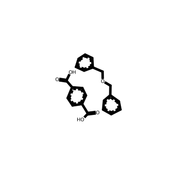 O=C(O)c1ccc(C(=O)O)cc1.c1ccc(COCc2ccccc2)cc1